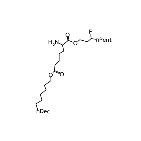 CCCCCCCCCCCCCCCCOC(=O)CCCCC(N)C(=O)OCCC(F)CCCCC